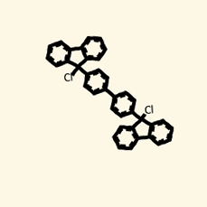 ClC1(c2ccc(-c3ccc(C4(Cl)c5ccccc5-c5ccccc54)cc3)cc2)c2ccccc2-c2ccccc21